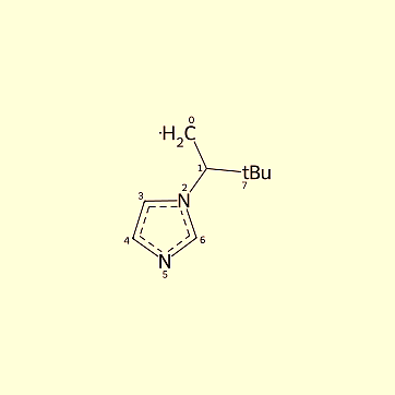 [CH2]C(n1ccnc1)C(C)(C)C